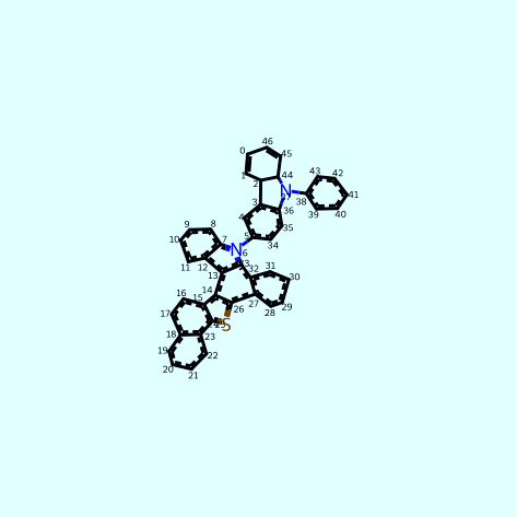 C1=CC2c3cc(-n4c5ccccc5c5c6c7ccc8ccccc8c7sc6c6ccccc6c54)ccc3N(c3ccccc3)C2C=C1